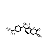 CC1Cc2ccc(C(C)C3CCC(C(C)O)CC3)c(F)c2OC1=O